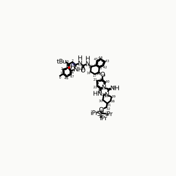 Cc1ccc(N/C(=C\C(=N)C(C)(C)C)NC(=O)N[C@H]2CC[C@@H](Oc3ccc(=N)n(C(=N)N4CCC(CO[Si](C(C)C)(C(C)C)C(C)C)CC4)c3)c3ccccc32)cc1